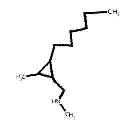 CCCCCCC1C(C)C1CNC